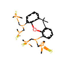 CC1(C)c2cccc(P(CP(C)(C)=S)CP(C)(C)=S)c2Oc2c(P(CP(C)(C)=S)CP(C)(C)=S)cccc21